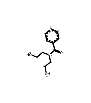 O=C(c1ccncc1)N(CCO)CCO